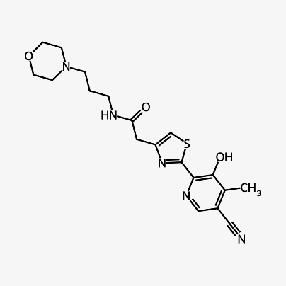 Cc1c(C#N)cnc(-c2nc(CC(=O)NCCCN3CCOCC3)cs2)c1O